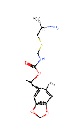 CC(OC(=O)NCSC[C@H](N)C(=O)O)c1cc2c(cc1[N+](=O)[O-])OCO2